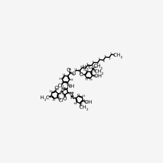 CCCCCCCCCCCCC(COC(=O)c1ccc(Cl)c(NC2=NN(c3c(Cl)cc(C)cc3Cl)C(=O)C2N=Nc2ccc(O)c(C)c2)c1)Oc1ccc(O)c(C(C)(C)C)c1